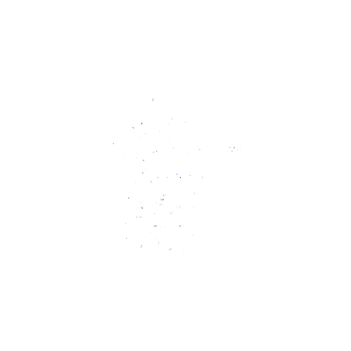 COc1ccc(N(c2ccc3c(c2)C(c2ccccc2)(c2ccccc2)c2ccccc2-3)c2ccc3c(c2)C2(c4ccccc4-c4ccccc42)c2ccccc2-3)cc1